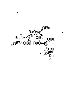 CC(C)COP(OCC(C)C)OCC(C)C.CC(C)COP(OCC(C)C)OCC(C)C.CC(C)COP(OCC(C)C)OCC(C)C.[C]=O.[C]=O.[Ru]